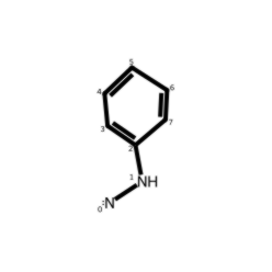 [N]Nc1ccccc1